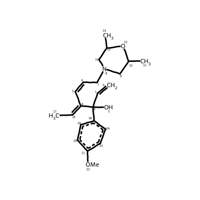 C=CC(O)(C(/C=C\CN1CC(C)OC(C)C1)=C/C)c1ccc(OC)cc1